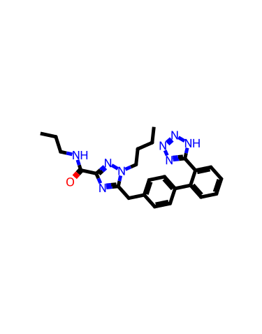 CCCCn1nc(C(=O)NCCC)nc1Cc1ccc(-c2ccccc2-c2nnn[nH]2)cc1